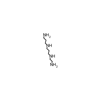 NCCCNCCCNCCN